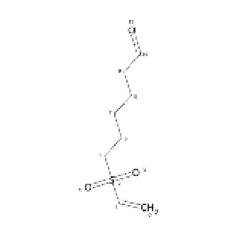 C=CS(=O)(=O)CCCCC[C]=O